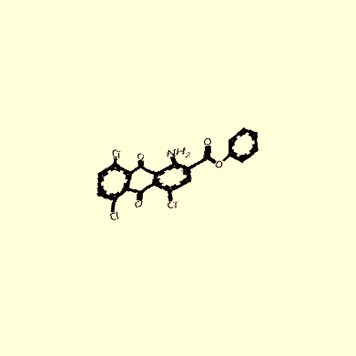 Nc1c(C(=O)Oc2ccccc2)cc(Cl)c2c1C(=O)c1c(Cl)ccc(Cl)c1C2=O